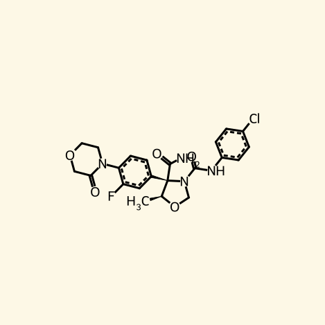 C[C@@H]1OCN(C(=O)Nc2ccc(Cl)cc2)[C@]1(C(N)=O)c1ccc(N2CCOCC2=O)c(F)c1